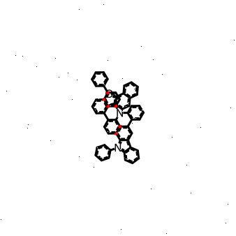 c1ccc(-c2ccc(N(c3ccccc3-c3ccc4c(c3)c3ccccc3n4-c3ccccc3)c3ccccc3-c3cccc4oc5c6ccccc6ccc5c34)cc2)cc1